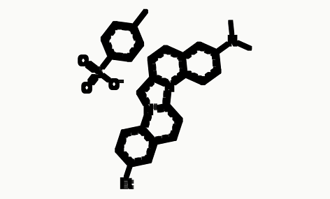 CCc1ccc2c(ccc3n4c(ccc5cc(N(C)C)ccc54)c[n+]23)c1.Cc1ccc(S(=O)(=O)[O-])cc1